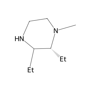 CCC1NCCN(C)[C@@H]1CC